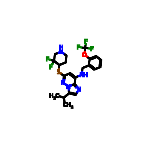 CC(C)c1cnc2c(NCc3ccccc3OC(F)(F)F)cc(SC3CCNCC3(F)F)nn12